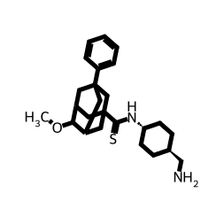 COC1C2CC3(C(=S)N[C@H]4CC[C@H](CN)CC4)CC1CC(c1ccccc1)(C2)C3